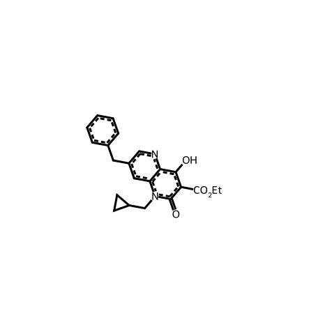 CCOC(=O)c1c(O)c2ncc(Cc3ccccc3)cc2n(CC2CC2)c1=O